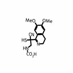 COc1cc2c(cc1OC)C(C(S)(C#N)CNC(=O)O)=NCC2